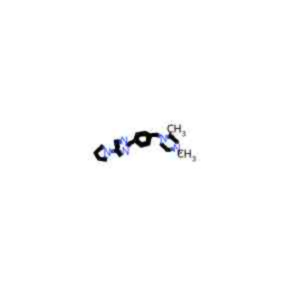 C[C@H]1CN(C)CCN1Cc1ccc(-c2ncc(N3CCCC3)cn2)cc1